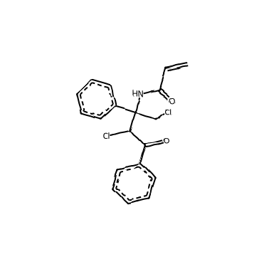 C=CC(=O)NC(CCl)(c1ccccc1)C(Cl)C(=O)c1ccccc1